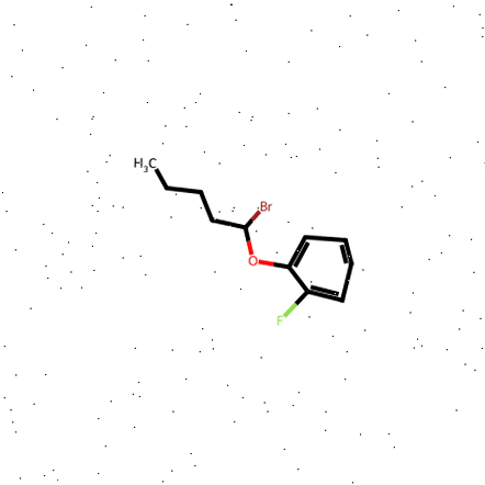 CCCCC(Br)Oc1ccccc1F